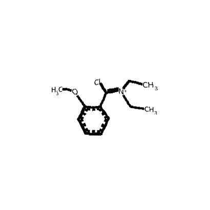 CC[N+](CC)=C(Cl)c1ccccc1OC